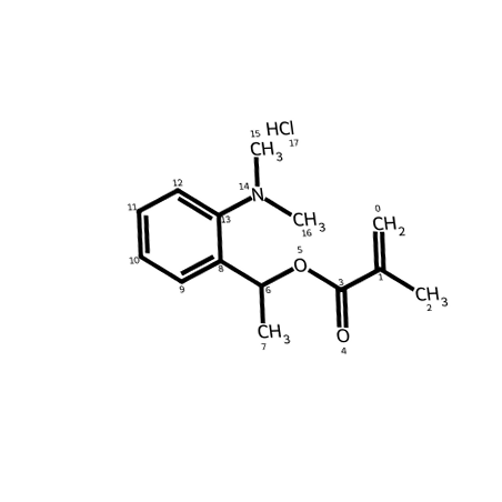 C=C(C)C(=O)OC(C)c1ccccc1N(C)C.Cl